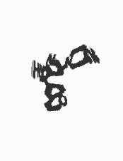 CN1CCN(c2cnc3[nH]cc(-c4ccc5c(c4)CCCO5)c3c2)CC1